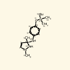 CN1C=CC(C)(Nc2ccc(O[Si](C)(C)C(C)(C)C)cc2)N1